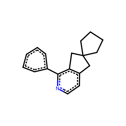 c1ccc(-c2nccc3c2CC2(CCCC2)C3)cc1